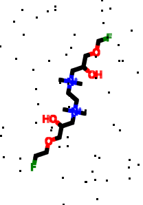 C[N+](C)(CC[N+](C)(C)CC(O)COCCF)CC(O)COCF